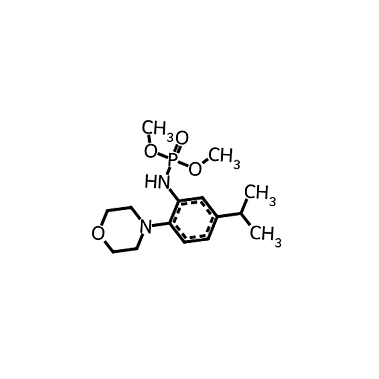 COP(=O)(Nc1cc(C(C)C)ccc1N1CCOCC1)OC